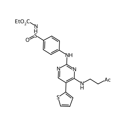 CCOC(=O)/N=[SH](=O)/c1ccc(Nc2ncc(-c3cccs3)c(NCCC(C)=O)n2)cc1